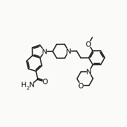 COc1cccc(N2CCOCC2)c1CCN1CCC(n2ccc3ccc(C(N)=O)cc32)CC1